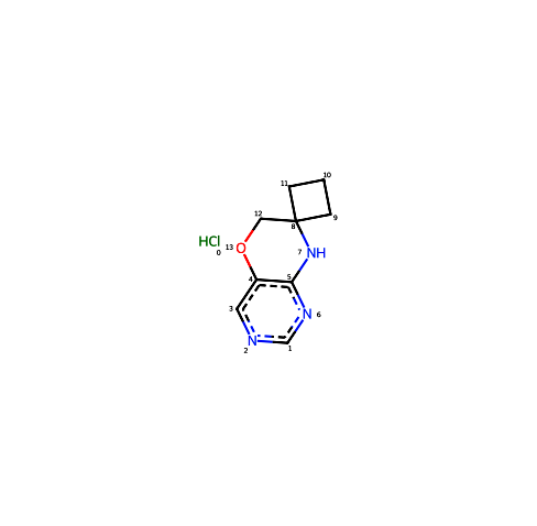 Cl.c1ncc2c(n1)NC1(CCC1)CO2